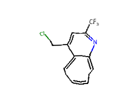 FC(F)(F)c1cc(CCl)c2ccccc2n1